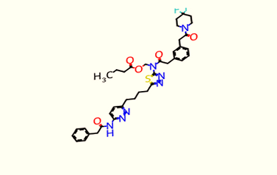 CCCC(=O)OCN(C(=O)Cc1cccc(CC(=O)N2CCC(F)(F)CC2)c1)c1nnc(CCCCc2ccc(NC(=O)Cc3ccccc3)nn2)s1